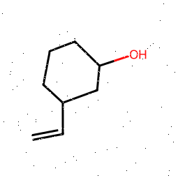 C=CC1CC[CH]C(O)C1